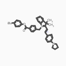 CCC(C)c1ccc(OC(=O)c2ccc(C[N+]3=C(/C=C/c4ccc(N5CCCC5)cc4)C(C)(C)c4ccccc43)cc2)cc1